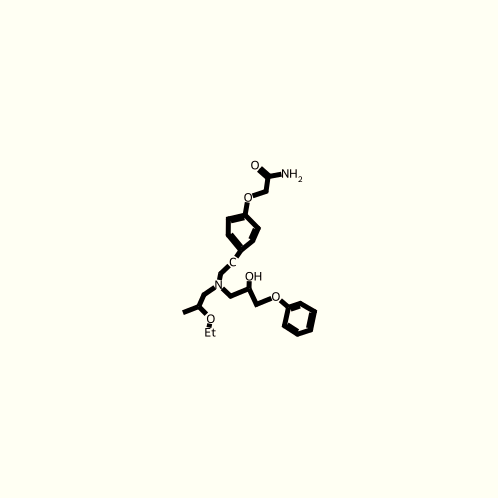 CCOC(C)CN(CCc1ccc(OCC(N)=O)cc1)CC(O)COc1ccccc1